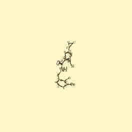 Cc1c(Br)cccc1CNC(=O)c1cc(C2CC2)nn1C